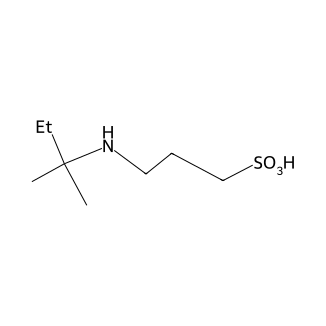 CCC(C)(C)NCCCS(=O)(=O)O